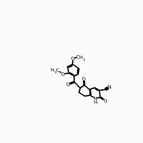 COc1ccc(C(=O)C2CCc3[nH]c(=O)c(C#N)cc3C2=O)c(OC)c1